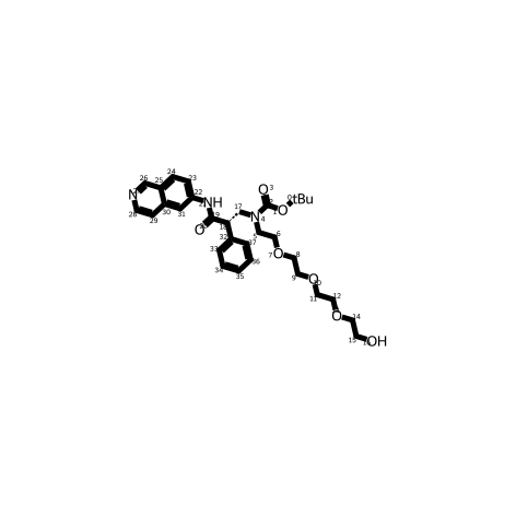 CC(C)(C)OC(=O)N(CCOCCOCCOCCO)C[C@@H](C(=O)Nc1ccc2cnccc2c1)c1ccccc1